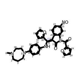 CN1CCCN(c2ccc(N/C(=C3\C(=O)N(C(=O)c4ccco4)c4cc(N=O)ccc43)c3ccco3)cc2)CC1